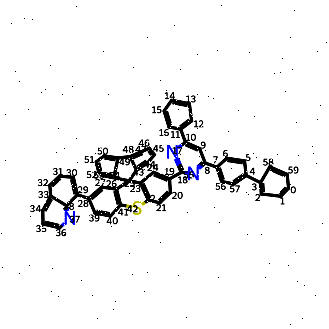 c1ccc(-c2ccc(-c3cc(-c4ccccc4)nc(-c4ccc5c(c4)C4(c6cc(-c7cccc8cccnc78)ccc6S5)c5ccccc5-c5ccccc54)n3)cc2)cc1